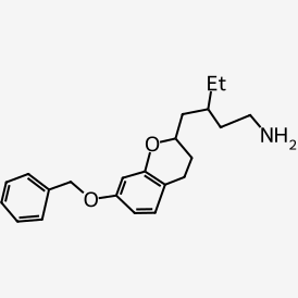 CCC(CCN)CC1CCc2ccc(OCc3ccccc3)cc2O1